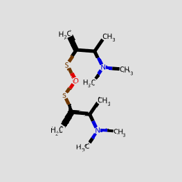 C=C(SOSC(=C)C(C)N(C)C)C(C)N(C)C